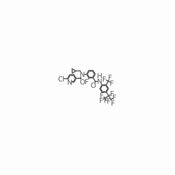 O=C(Nc1ccc(C(F)(C(F)(F)F)C(F)(F)F)cc1C(F)(F)F)c1cccc(N(CC2CC2)C(=O)c2ccc(Cl)nc2)c1F